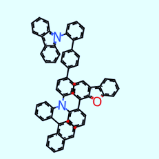 c1ccc(N(c2ccc(-c3ccc(-c4ccccc4-n4c5ccccc5c5ccccc54)cc3)cc2)c2ccccc2-c2cccc3c2oc2ccccc23)c(-c2cccc3ccccc23)c1